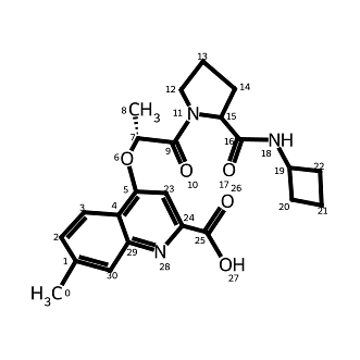 Cc1ccc2c(O[C@H](C)C(=O)N3CCCC3C(=O)NC3CCC3)cc(C(=O)O)nc2c1